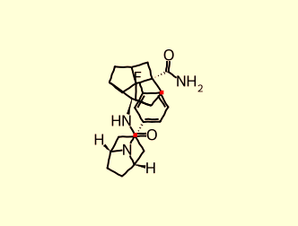 NC(=O)[C@]12CC3CC14CC(CC4C2)[C@@H]3NC(=O)N1[C@@H]2CC[C@H]1C[C@@H](c1cccc(F)c1)C2